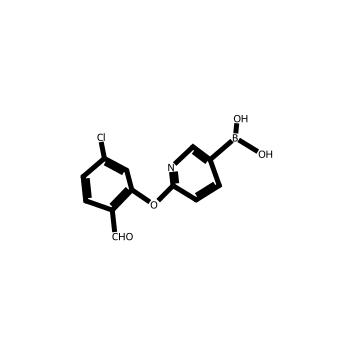 O=Cc1ccc(Cl)cc1Oc1ccc(B(O)O)cn1